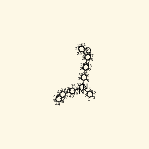 c1ccc(-c2nc(-c3ccc(-c4ccc(-c5ccc6oc7ccccc7c6c5)cc4)cc3)cc(-c3ccc(-c4ccc5ccccc5c4)cc3)n2)cc1